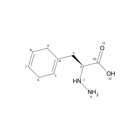 NN[C@@H](CC1=CCC=CC1)C(=O)O